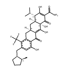 C[C@H]1CCCN1Cc1cc(O)c2c(c1C(F)(F)F)C[C@H]1C[C@H]3[C@H](N(C)C)C(O)=C(C(N)=O)C(=O)[C@@]3(O)C(O)=C1C2=O